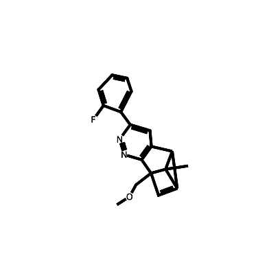 COCC12C=C3C(c4cc(-c5ccccc5F)nnc41)C32C